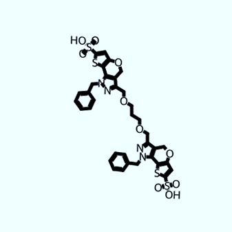 O=S(=O)(O)c1cc2c(s1)-c1c(c(COCCCOCc3nn(Cc4ccccc4)c4c3COc3cc(S(=O)(=O)O)sc3-4)nn1Cc1ccccc1)CO2